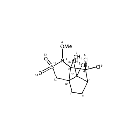 CON1C2(C)C(Cl)(Cl)C3CCC2(CS1(=O)=O)C3(C)C